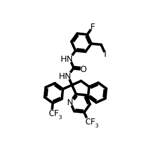 O=C(Nc1ccc(F)c(CI)c1)NC(Cc1ccccc1)(c1cccc(C(F)(F)F)c1)c1ccc(C(F)(F)F)cn1